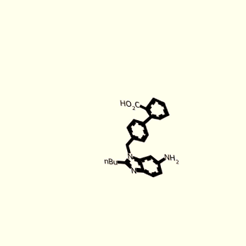 CCCCc1nc2ccc(N)cc2n1Cc1ccc(-c2ccccc2C(=O)O)cc1